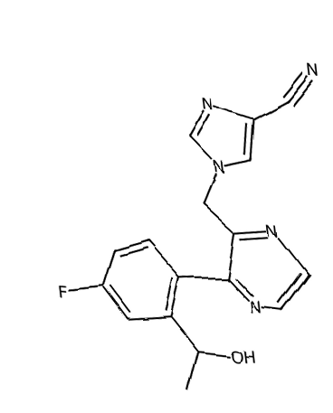 CC(O)c1cc(F)ccc1-c1nccnc1Cn1cnc(C#N)c1